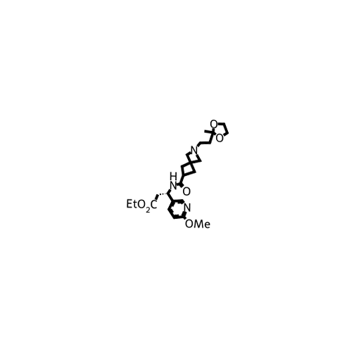 CCOC(=O)C[C@H](NC(=O)C1CC2(C1)CN(CCC1(C)OCCO1)C2)c1ccc(OC)nc1